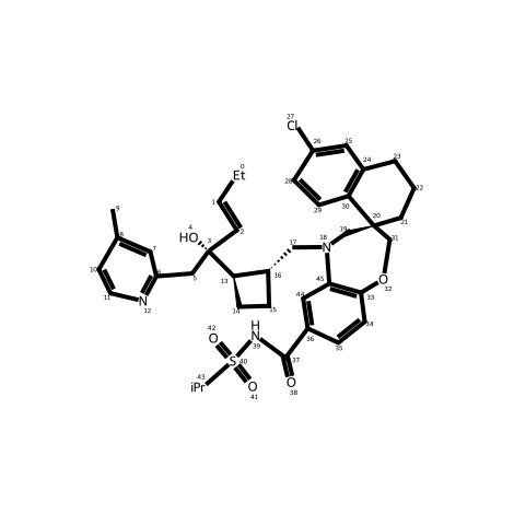 CC/C=C/[C@](O)(Cc1cc(C)ccn1)[C@@H]1CC[C@H]1CN1C[C@@]2(CCCc3cc(Cl)ccc32)COc2ccc(C(=O)NS(=O)(=O)C(C)C)cc21